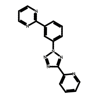 c1ccc(-c2nnn(-c3cccc(-c4ncccn4)c3)n2)nc1